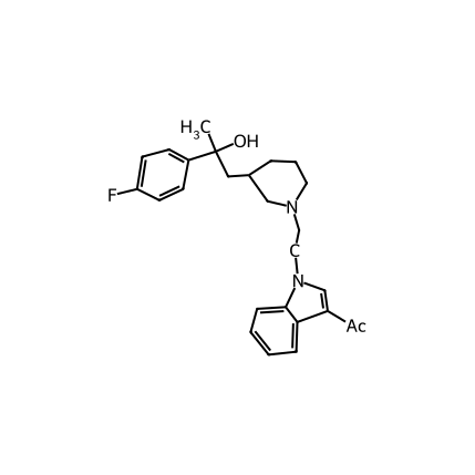 CC(=O)c1cn(CCN2CCCC(CC(C)(O)c3ccc(F)cc3)C2)c2ccccc12